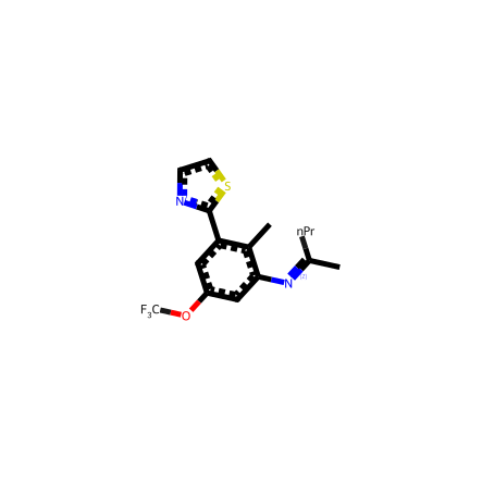 CCC/C(C)=N\c1cc(OC(F)(F)F)cc(-c2nccs2)c1C